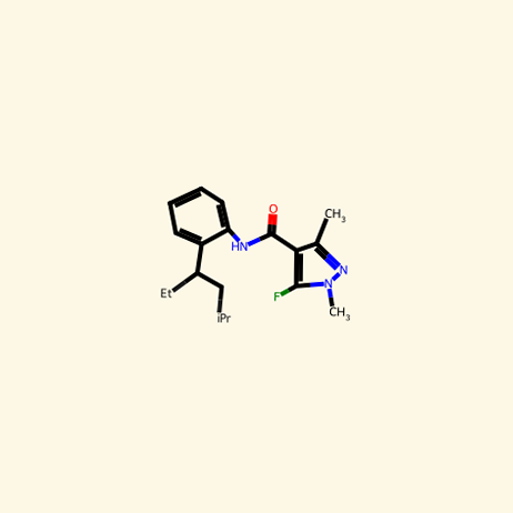 CCC(CC(C)C)c1ccccc1NC(=O)c1c(C)nn(C)c1F